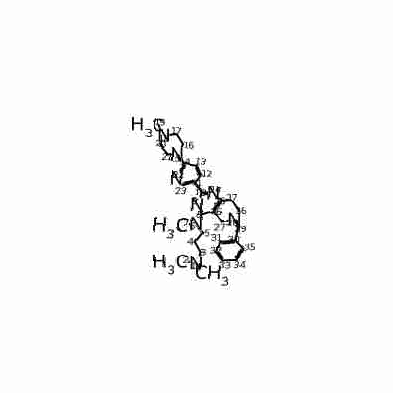 CN(C)CCCN(C)c1nc(-c2ccc(N3CCN(C)CC3)nc2)nc2c1CN(Cc1ccccc1)CC2